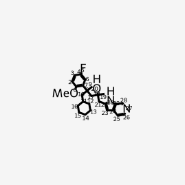 COc1ccc(F)cc1C(C)(CC1CCCCC1)CC(C)(O)Cc1cc2ccncc2[nH]1